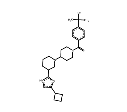 CC(C)(O)c1ccc(C(=O)N2CCC(N3CCCC(c4nc(C5CCC5)n[nH]4)C3)CC2)cc1